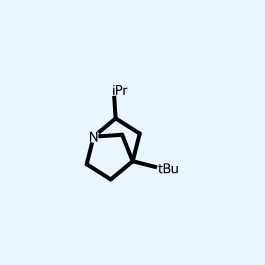 CC(C)C1CC2(C(C)(C)C)CCN1C2